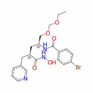 CCOCOC[C@H](C[C@H](Cc1cccnc1)C(=O)NO)NC(=O)c1ccc(Br)cc1